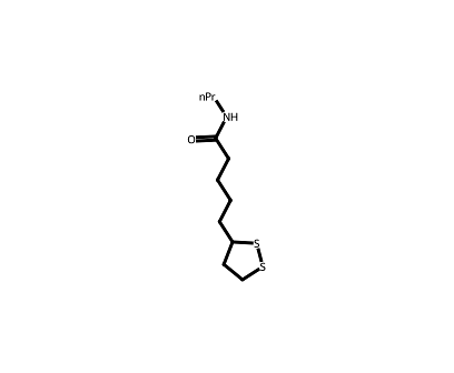 CCCNC(=O)CCCCC1CCSS1